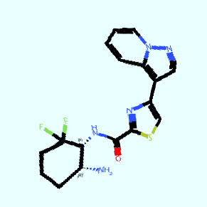 N[C@@H]1CCCC(F)(F)[C@@H]1NC(=O)c1nc(-c2cnn3ccccc23)cs1